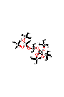 C[Si](C)(C)O[Si](C)(O[Si](C)(C)C)O[Si](C)(C)O[Si](O[Si](C)(C)C)(O[Si](C)(C)C)O[Si](C)(C)C